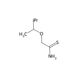 CC(C)C(C)OCC(N)=S